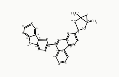 CC12CC1(C)OB(c1ccc3c(c1)cc(-c1ccc4oc5ccccc5c4c1)c1ccccc13)O2